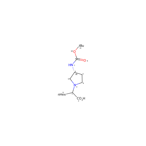 CCCCCCC(C(=O)O)N1CC[C@@H](NC(=O)OC(C)(C)C)C1